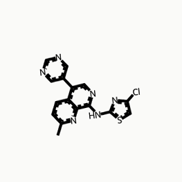 Cc1ccc2c(-c3cncnc3)cnc(Nc3nc(Cl)cs3)c2n1